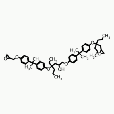 CCCC(CC)(CC(O)COc1ccc(C(C)(C)c2ccc(OC(CCC)(CCC)CC3CO3)cc2)cc1)Oc1ccc(C(C)(C)c2ccc(OCC3CO3)cc2)cc1